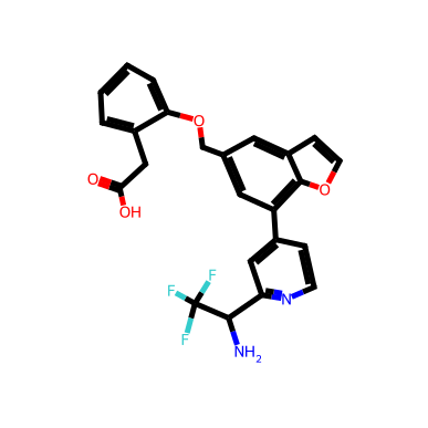 NC(c1cc(-c2cc(COc3ccccc3CC(=O)O)cc3ccoc23)ccn1)C(F)(F)F